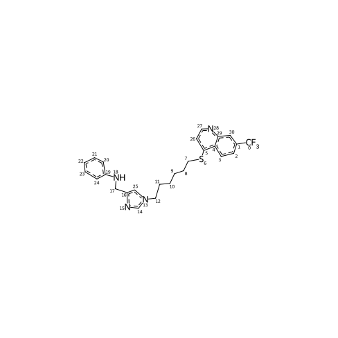 FC(F)(F)c1ccc2c(SCCCCCCn3cnc(CNc4ccccc4)c3)ccnc2c1